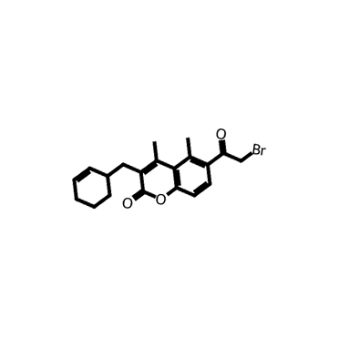 Cc1c(C(=O)CBr)ccc2oc(=O)c(CC3C=CCCC3)c(C)c12